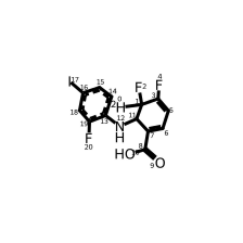 [2H]C1(F)C(F)=CC=C(C(=O)O)C1Nc1ccc(I)cc1F